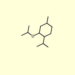 CC1CCC(C(C)C)C(OC(C)C)C1